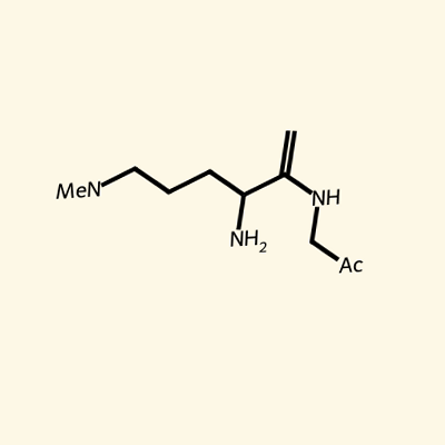 C=C(NCC(C)=O)C(N)CCCNC